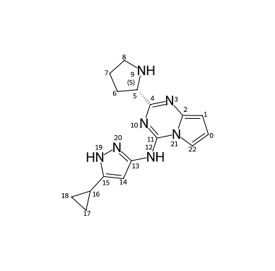 c1cc2nc([C@@H]3CCCN3)nc(Nc3cc(C4CC4)[nH]n3)n2c1